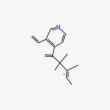 C=Cc1cnccc1C(=C)C(C)(C)/C(C)=C/C